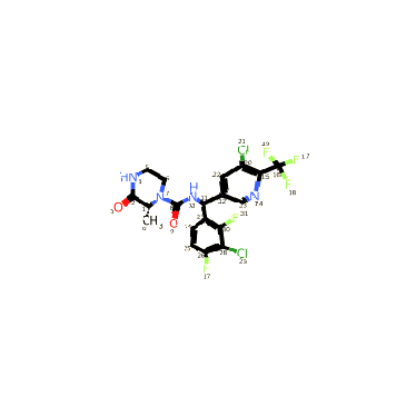 C[C@@H]1C(=O)NCCN1C(=O)NC(c1cnc(C(F)(F)F)c(Cl)c1)c1ccc(F)c(Cl)c1F